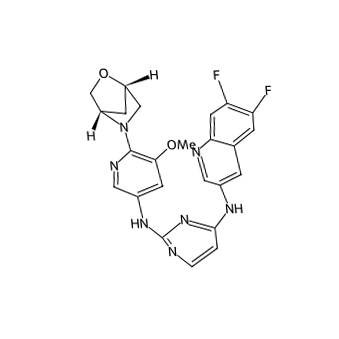 COc1cc(Nc2nccc(Nc3cnc4cc(F)c(F)cc4c3)n2)cnc1N1C[C@@H]2C[C@H]1CO2